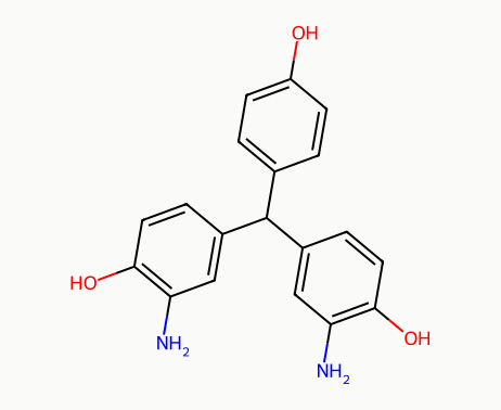 Nc1cc(C(c2ccc(O)cc2)c2ccc(O)c(N)c2)ccc1O